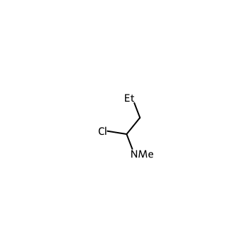 CCCC(Cl)NC